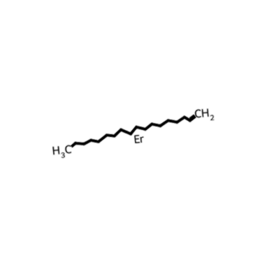 C=CCCCCCCCCCCCCCCCC.[Er]